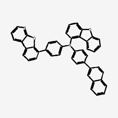 c1ccc2cc(-c3ccc(N(c4ccc(-c5cccc6c5oc5ncccc56)cc4)c4cccc5oc6ccccc6c45)cc3)ccc2c1